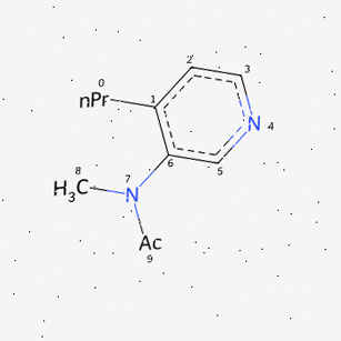 CCCc1ccncc1N(C)C(C)=O